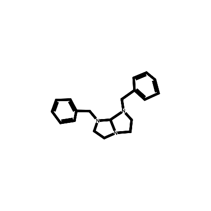 c1ccc(CN2CCN3CCN(Cc4ccccc4)C32)cc1